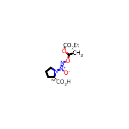 CCOC(=O)OC(C)ON=[N+]([O-])N1CCC[C@H]1C(=O)O